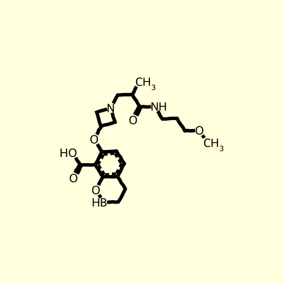 COCCCNC(=O)C(C)CN1CC(Oc2ccc3c(c2C(=O)O)OBCC3)C1